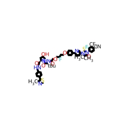 Cc1ncsc1-c1ccc(CNC2OC2[C@@H]2C[C@@H](O)CN2C(=O)[C@@H](NC(=O)COCC(F)CCOc2ccc(-c3ccc(N4C(=S)N(c5ccc(C#N)c(C(F)(F)F)c5F)C(=O)C4(C)C)cn3)cc2)C(C)(C)C)cc1